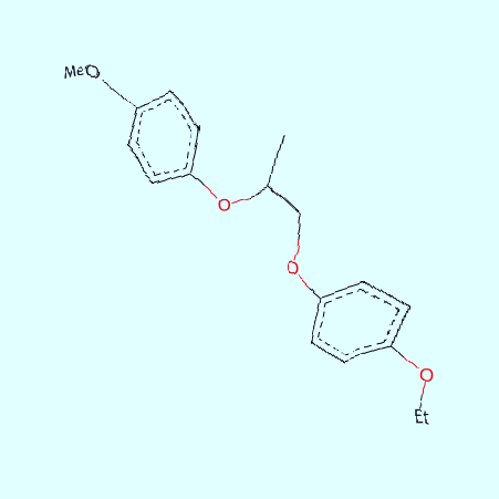 CCOc1ccc(OCC(C)Oc2ccc(OC)cc2)cc1